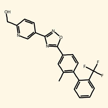 Cc1cc(-c2nc(-c3ccc(CO)nc3)no2)ccc1-c1ccccc1C(F)(F)F